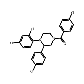 O=C(c1ccc(Cl)cc1)N1CCN(c2ccc(Cl)cc2Cl)C(c2ccc(Cl)cc2)C1